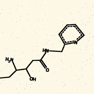 CC(C)CC(N)C(O)CC(=O)NCc1ccccn1